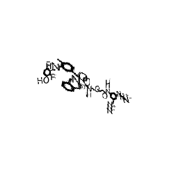 Cc1ccc(C(=O)N2Cc3ccccc3C[C@H]2C(=O)NCCOCCC(=O)Nc2cc(CN=[N+]=[N-])cc(N=[N+]=[N-])c2)cc1NCc1c(F)ccc(O)c1F